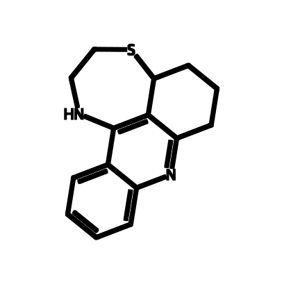 c1ccc2c3c4c(nc2c1)CCCC4SCCN3